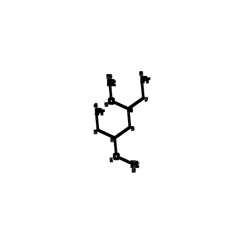 CCOC(CC(C)C)CC(CC(C)C)OCC